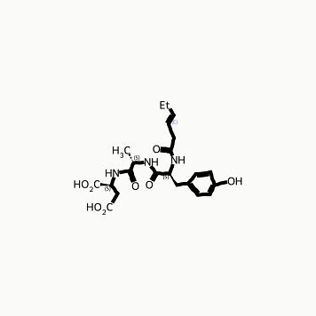 CC/C=C/CC(=O)N[C@@H](Cc1ccc(O)cc1)C(=O)N[C@@H](C)C(=O)N[C@@H](CC(=O)O)C(=O)O